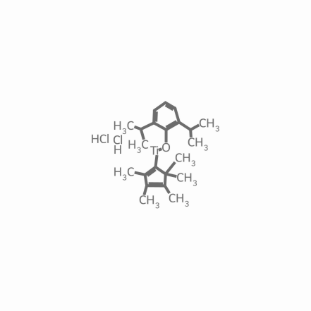 CC1=C(C)C(C)(C)[C]([Ti][O]c2c(C(C)C)cccc2C(C)C)=C1C.Cl.Cl